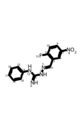 N=C(NN=Cc1cc([N+](=O)[O-])ccc1F)Nc1ccccc1